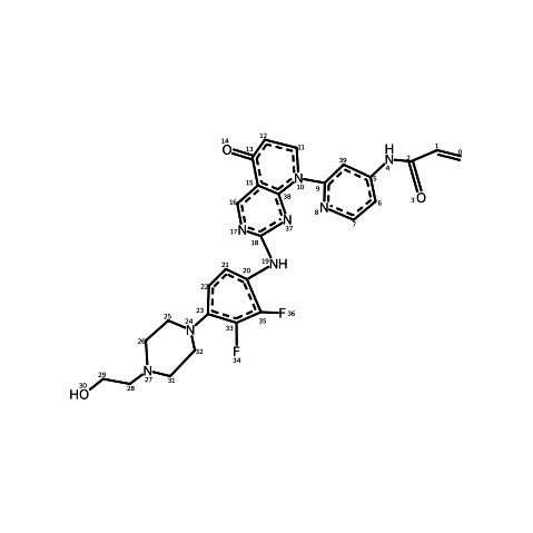 C=CC(=O)Nc1ccnc(-n2ccc(=O)c3cnc(Nc4ccc(N5CCN(CCO)CC5)c(F)c4F)nc32)c1